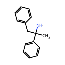 CC([NH])(Cc1ccccc1)c1ccccc1